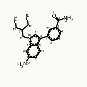 NC(=O)c1cccc(-c2cn(CC(CF)CF)c3cc(N)ccc23)c1